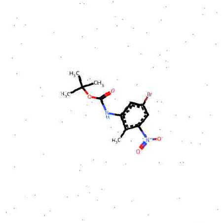 Cc1c(NC(=O)OC(C)(C)C)cc(Br)cc1[N+](=O)[O-]